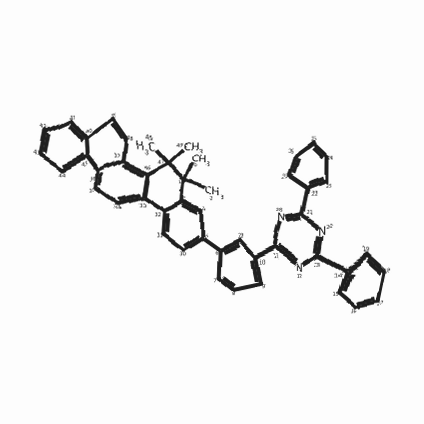 CC1(C)c2cc(-c3cccc(-c4nc(-c5ccccc5)nc(-c5ccccc5)n4)c3)ccc2-c2ccc3c(ccc4ccccc43)c2C1(C)C